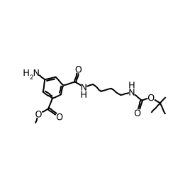 COC(=O)c1cc(N)cc(C(=O)NCCCCNC(=O)OC(C)(C)C)c1